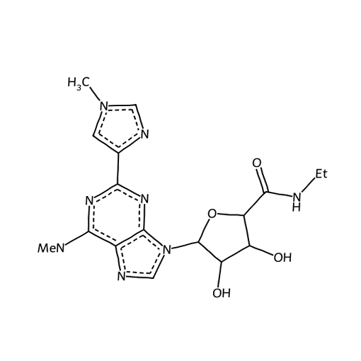 CCNC(=O)C1OC(n2cnc3c(NC)nc(-c4cn(C)cn4)nc32)C(O)C1O